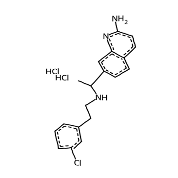 CC(NCCc1cccc(Cl)c1)c1ccc2ccc(N)nc2c1.Cl.Cl